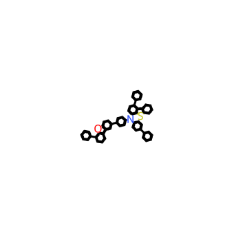 c1ccc(-c2ccc(N(c3ccc(-c4ccc5oc6c(-c7ccccc7)cccc6c5c4)cc3)c3ccc(-c4ccccc4)c4c3sc3ccccc34)cc2)cc1